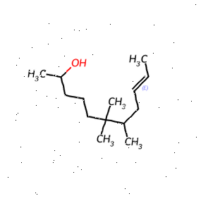 C/C=C/CC(C)C(C)(C)CCCC(C)O